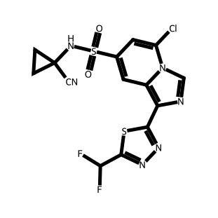 N#CC1(NS(=O)(=O)c2cc(Cl)n3cnc(-c4nnc(C(F)F)s4)c3c2)CC1